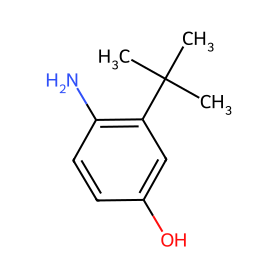 CC(C)(C)c1cc(O)ccc1N